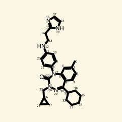 Cc1ccc2c(c1)N(c1ccc(NCCc3ncc[nH]3)cc1)C(=O)N(CC1CC1)N=C2C1CCCCC1